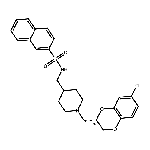 O=S(=O)(NCC1CCN(C[C@H]2COc3ccc(Cl)cc3O2)CC1)c1ccc2ccccc2c1